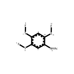 CC(=O)Nc1cc(SF)c(SF)cc1SF